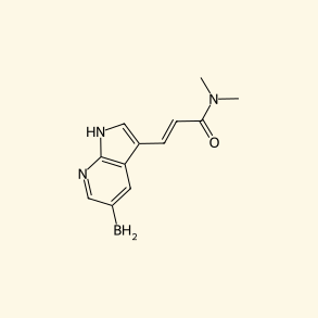 Bc1cnc2[nH]cc(/C=C/C(=O)N(C)C)c2c1